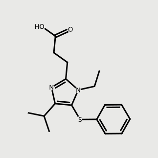 CCn1c(CCC(=O)O)nc(C(C)C)c1Sc1ccccc1